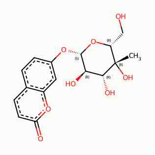 C[C@@]1(O)[C@H](O)[C@@H](O)[C@H](Oc2ccc3ccc(=O)oc3c2)O[C@@H]1CO